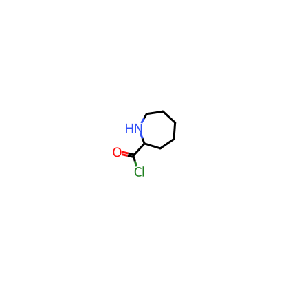 O=C(Cl)C1CCCCCN1